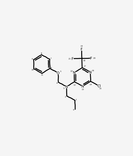 CCCN(COc1ccccc1)c1nc(Cl)nc(C(F)(F)F)n1